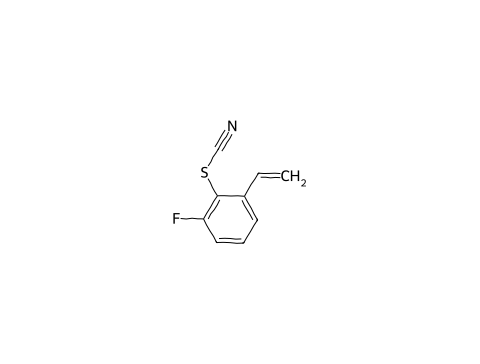 C=Cc1cccc(F)c1SC#N